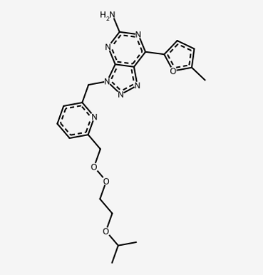 Cc1ccc(-c2nc(N)nc3c2nnn3Cc2cccc(COOCCOC(C)C)n2)o1